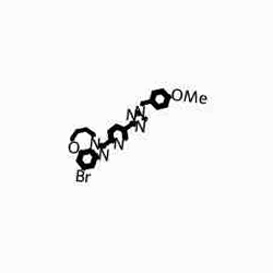 COc1ccc(Cn2cnc(-c3ccc(-c4nc5cc(Br)cc6c5n4CCCCO6)nc3)n2)cc1